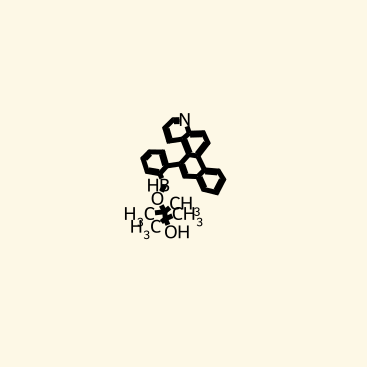 CC(C)(O)C(C)(C)OBc1ccccc1-c1cc2ccccc2c2ccc3ncccc3c12